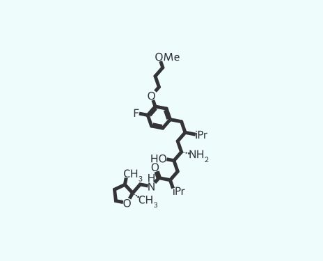 COCCCOc1cc(CC(C[C@H](N)C(O)CC(C(=O)NC[C@@]2(C)OCCC2C)C(C)C)C(C)C)ccc1F